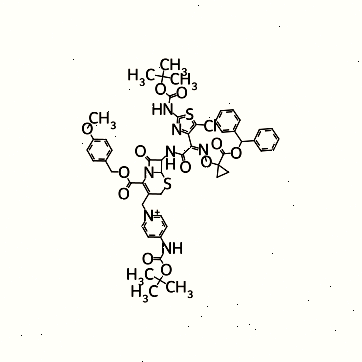 COc1ccc(COC(=O)C2=C(C[n+]3ccc(NC(=O)OC(C)(C)C)cc3)CSC3C(NC(=O)/C(=N\OC4(C(=O)OC(c5ccccc5)c5ccccc5)CC4)c4nc(NC(=O)OC(C)(C)C)sc4Cl)C(=O)N23)cc1